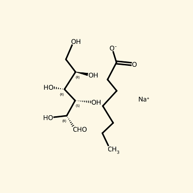 CCCCCCC(=O)[O-].O=C[C@H](O)[C@@H](O)[C@H](O)[C@H](O)CO.[Na+]